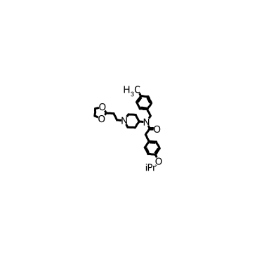 Cc1ccc(CN(C(=O)Cc2ccc(OC(C)C)cc2)C2CCN(CCC3OCCO3)CC2)cc1